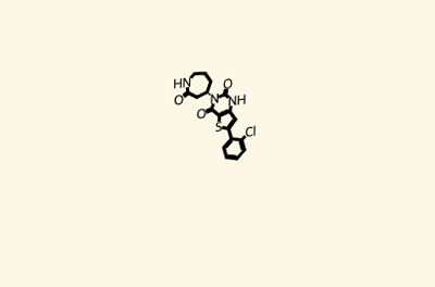 O=C1C[C@@H](n2c(=O)[nH]c3cc(-c4ccccc4Cl)sc3c2=O)CCCN1